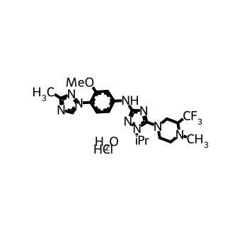 COc1cc(Nc2nc(N3CCN(C)C(C(F)(F)F)C3)n(C(C)C)n2)ccc1-n1cnc(C)n1.Cl.O